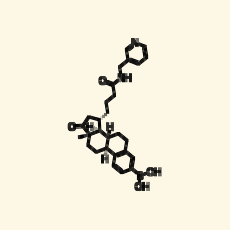 C[C@]12CC[C@@H]3c4ccc(B(O)O)cc4CC[C@H]3[C@@H]1[C@@H](CCCC(=O)NCc1cccnc1)CC2=O